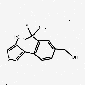 Cc1cscc1-c1ccc(CO)cc1C(F)(F)F